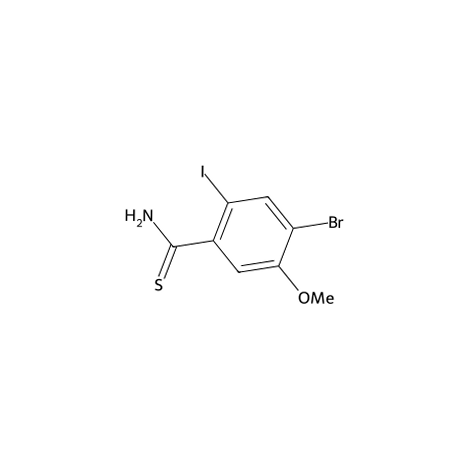 COc1cc(C(N)=S)c(I)cc1Br